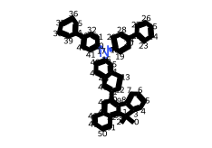 CC1(C)c2ccccc2-c2c(-c3ccc4cc(N(c5ccc(-c6ccccc6)cc5)c5ccc(-c6ccccc6)cc5)ccc4c3)cc3ccccc3c21